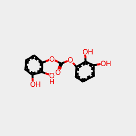 O=C(Oc1cccc(O)c1O)Oc1cccc(O)c1O